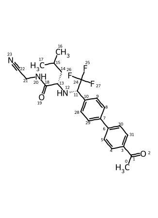 CC(=O)c1ccc(-c2ccc([C@H](N[C@@H](CC(C)C)C(=O)NCC#N)C(F)(F)F)cc2)cc1